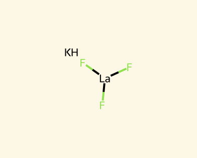 [F][La]([F])[F].[KH]